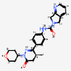 C[C@H]1CC(=O)N(C2CCOCC2)N=C1c1ccc(NC(=O)N2Cc3cccnc3C2)cc1